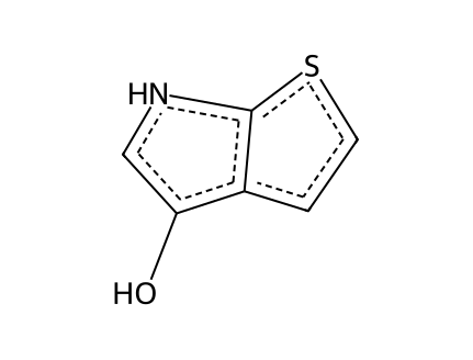 Oc1c[nH]c2sccc12